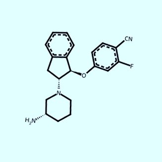 N#Cc1ccc(O[C@@H]2c3ccccc3C[C@H]2N2CCC[C@H](N)C2)cc1F